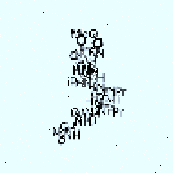 COc1ccc2nc(C[C@H](NC(=O)[C@@H]3CCCN3C(=O)c3ccc(C)cc3)C(=O)N[C@@H](CC(C)C)C(=O)NC(C)(C)C(=O)N[C@@H](CC(C)C)C(=O)N[C@@H](CC(C)C)C(=O)NC(C)(C)C(=O)NC(C)(C)C(=O)NCCC(=O)NC3(CN(C)C)CCC3)sc2c1